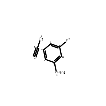 C#CCC.CCCCCc1cccc(F)c1